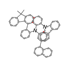 CC1(C)c2ccccc2-c2c(-c3ccccc3N(c3cccc(-c4cccc5ccccc45)c3)c3ccccc3-n3c4ccccc4c4ccccc43)cccc21